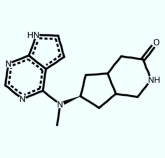 CN(c1ncnc2[nH]ccc12)[C@@H]1CC2CNC(=O)CC2C1